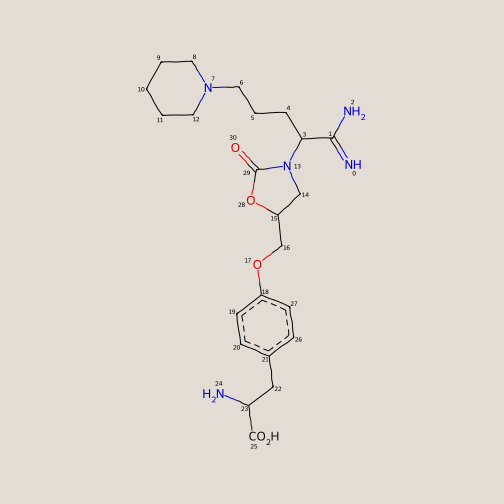 N=C(N)C(CCCN1CCCCC1)N1CC(COc2ccc(CC(N)C(=O)O)cc2)OC1=O